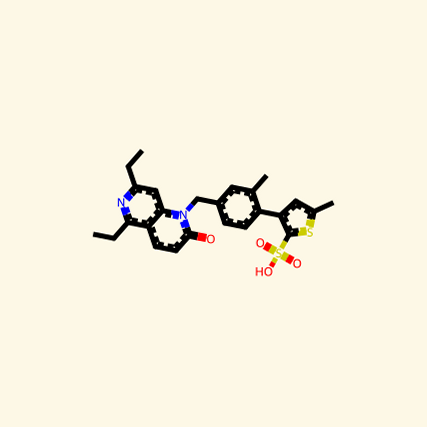 CCc1cc2c(ccc(=O)n2Cc2ccc(-c3cc(C)sc3S(=O)(=O)O)c(C)c2)c(CC)n1